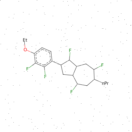 CCCC1CC(F)C2CC(c3ccc(OCC)c(F)c3F)C(F)C2CC1F